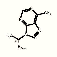 CO[C@H](C)n1cnc2c(N)ncnc21